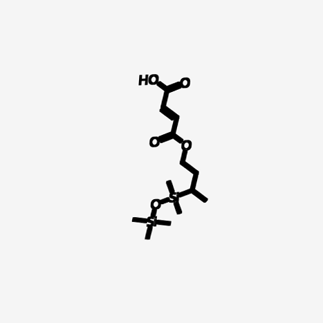 CC(CCOC(=O)C=CC(=O)O)[Si](C)(C)O[Si](C)(C)C